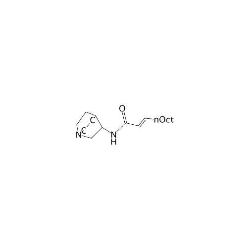 CCCCCCCCC=CC(=O)NC1CN2CCC1CC2